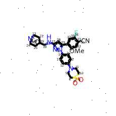 COc1cc(N2CCS(=O)(=O)CC2)ccc1-n1nc(NCC23CCN(CC2)CC3)cc1-c1ccc(C#N)c(F)c1